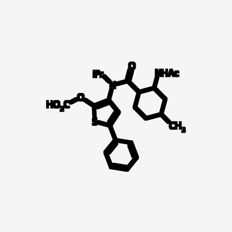 CC(=O)NC1CC(C)CCC1C(=O)N(c1cc(-c2ccccc2)sc1OC(=O)O)C(C)C